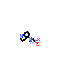 O=[N+]([O-])c1cn(-c2cccc3ncccc23)cn1